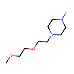 COCCOCCN1CCN(Cl)CC1